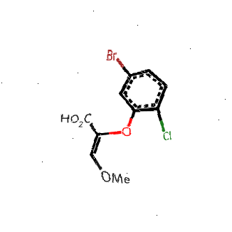 CO/C=C(\Oc1cc(Br)ccc1Cl)C(=O)O